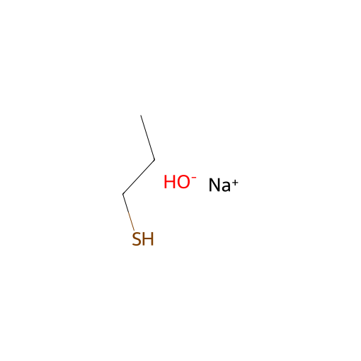 CCCS.[Na+].[OH-]